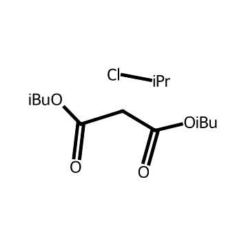 CC(C)COC(=O)CC(=O)OCC(C)C.CC(C)Cl